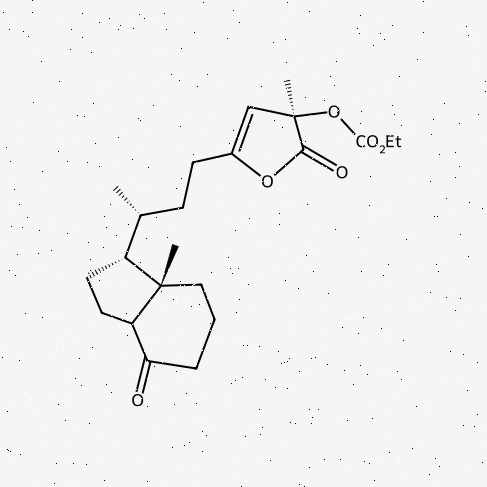 CCOC(=O)O[C@]1(C)C=C(CC[C@@H](C)[C@H]2CCC3C(=O)CCC[C@]32C)OC1=O